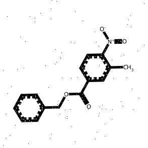 Cc1cc(C(=O)OCc2ccccc2)ccc1[N+](=O)[O-]